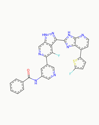 O=C(Nc1cncc(-c2ncc3[nH]nc(-c4nc5c(-c6ccc(F)s6)ccnc5[nH]4)c3c2F)c1)c1ccccc1